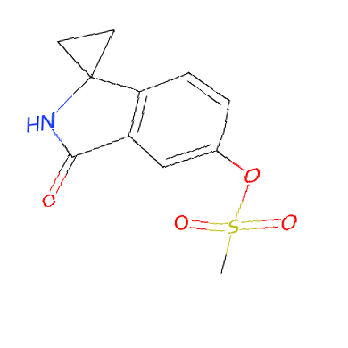 CS(=O)(=O)Oc1ccc2c(c1)C(=O)NC21CC1